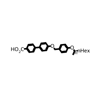 CCCCCC[C@@H](C)Oc1ccc(COc2ccc(-c3ccc(C(=O)O)cc3)cc2)cc1